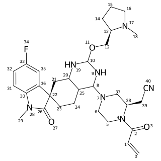 C=CC(=O)N1CCN(C2NC(OC[C@H]3CCCN3C)NC3C[C@@]4(CCC32)C(=O)N(C)c2ccc(F)cc24)C[C@H]1CC#N